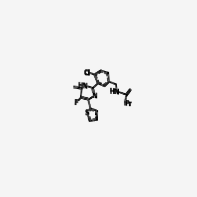 C=C1NC(c2cc(CNC(=C)C(C)C)ccc2Cl)=NC(c2cccs2)=C1F